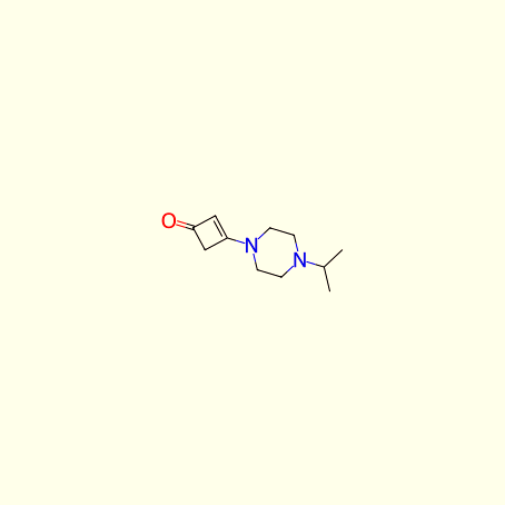 CC(C)N1CCN(C2=CC(=O)C2)CC1